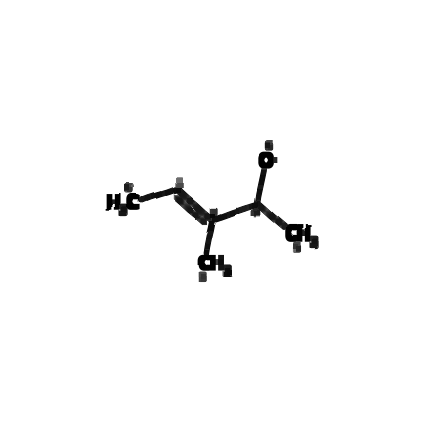 C/C=C(\C)C(C)[O]